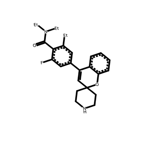 CCc1cc(C2=CC3(CCNCC3)Oc3ccccc32)cc(F)c1C(=O)N(CC)CC